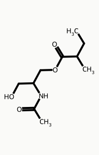 CCC(C)C(=O)OCC(CO)NC(C)=O